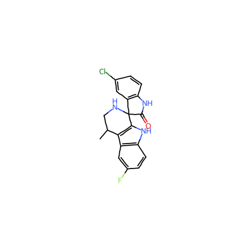 CC1CNC2(C(=O)Nc3ccc(Cl)cc32)c2[nH]c3ccc(F)cc3c21